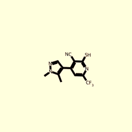 Cc1c(-c2cc(C(F)(F)F)nc(S)c2C#N)cnn1C